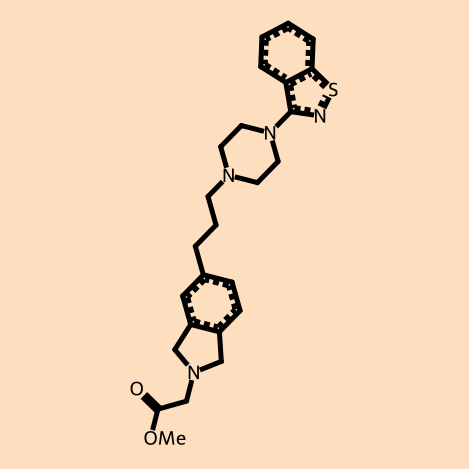 COC(=O)CN1Cc2ccc(CCCN3CCN(c4nsc5ccccc45)CC3)cc2C1